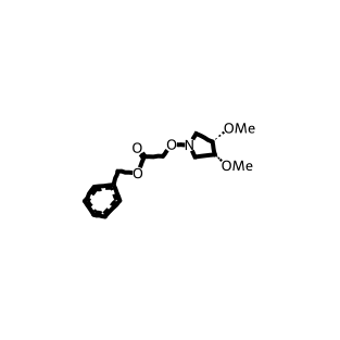 CO[C@H]1CN(OCC(=O)OCc2ccccc2)C[C@H]1OC